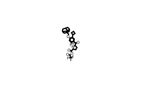 O=C(OC(=O)C(F)(F)F)C1CCC(C(=O)c2cc(C3CCC3)c(OCC34CC5CC(CC(C5)C3)C4)cc2F)N1